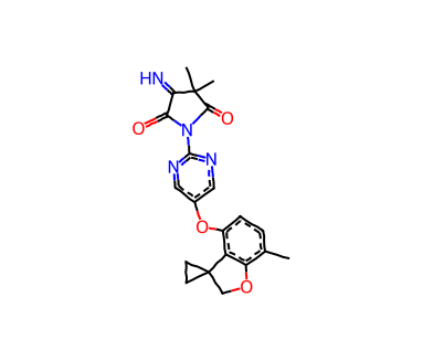 Cc1ccc(Oc2cnc(N3C(=O)C(=N)C(C)(C)C3=O)nc2)c2c1OCC21CC1